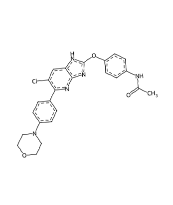 CC(=O)Nc1ccc(Oc2nc3nc(-c4ccc(N5CCOCC5)cc4)c(Cl)cc3[nH]2)cc1